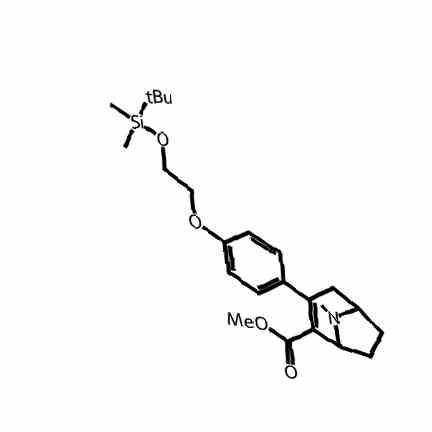 COC(=O)C1=C(c2ccc(OCCO[Si](C)(C)C(C)(C)C)cc2)CC2CCC1N2C